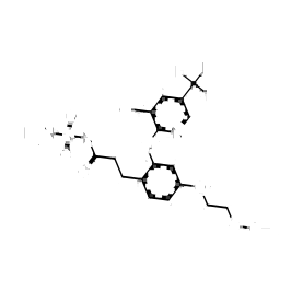 COCCOc1ccc(CCC(=O)NS(N)(=O)=O)c(Oc2ncc(C(F)(F)F)cc2Cl)c1